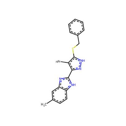 CCCc1c(-c2nc3cc(C)ccc3[nH]2)n[nH]c1SCc1ccccc1